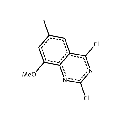 COc1cc(C)cc2c(Cl)nc(Cl)nc12